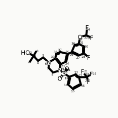 CC(C)(O)CCN1CCN(S(=O)(=O)c2cccc(C(F)(F)F)c2)c2cc(-c3cc(F)cc(OC(F)F)c3)ccc21